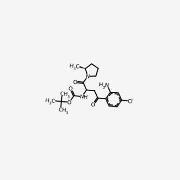 C[C@H]1CCCN1C(=O)C(CC(=O)c1ccc(Cl)cc1N)NC(=O)OC(C)(C)C